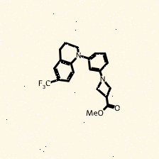 COC(=O)C1CN(c2cccc(N3CCCc4cc(C(F)(F)F)ccc43)c2)C1